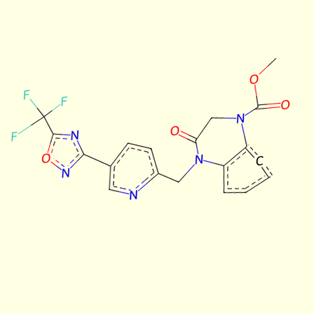 COC(=O)N1CC(=O)N(Cc2ccc(-c3noc(C(F)(F)F)n3)cn2)c2ccccc21